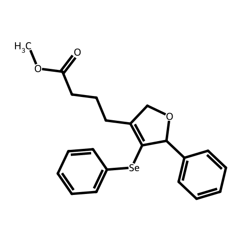 COC(=O)CCCC1=C([Se]c2ccccc2)C(c2ccccc2)OC1